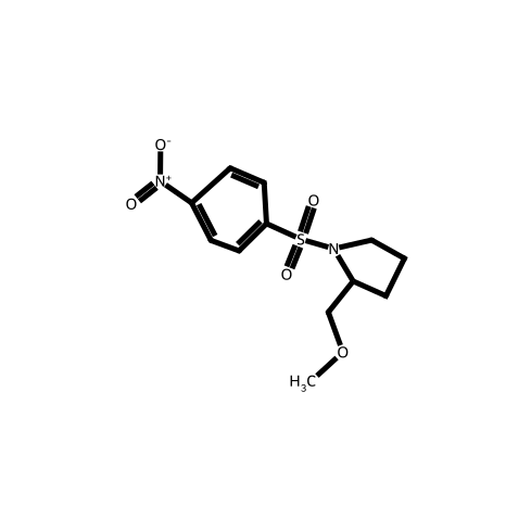 COCC1CCCN1S(=O)(=O)c1ccc([N+](=O)[O-])cc1